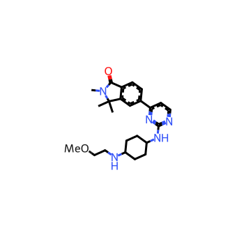 COCCNC1CCC(Nc2nccc(-c3ccc4c(c3)C(C)(C)N(C)C4=O)n2)CC1